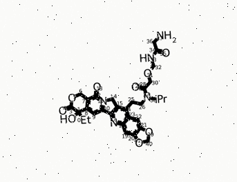 CCC1(O)C(=O)OCc2c1cc1n(c2=O)Cc2c-1nc1cc3c(cc1c2CCN(C(=O)COCNC(=O)CN)C(C)C)OCO3